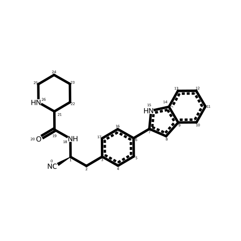 N#C[C@H](Cc1ccc(-c2cc3ccccc3[nH]2)cc1)NC(=O)C1CCCCN1